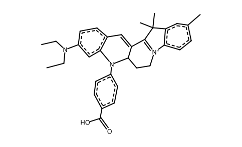 CCN(CC)c1ccc2c(c1)N(c1ccc(C(=O)O)cc1)C1CC[N+]3=C(C1=C2)C(C)(C)c1cc(C)ccc13